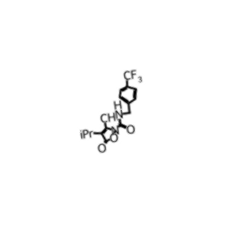 Cc1c(C(C)C)c(=O)on1C(=O)NCc1ccc(C(F)(F)F)cc1